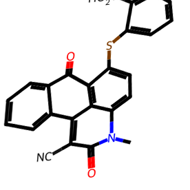 Cn1c(=O)c(C#N)c2c3c(c(Sc4ccccc4C(=O)O)ccc31)C(=O)c1ccccc1-2